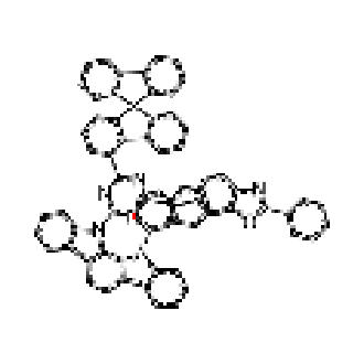 c1ccc(-c2nc(-c3cccc4c3-c3ccccc3C43c4ccccc4-c4ccccc43)nc(-n3c4ccccc4c4ccc5c6ccccc6n(-c6cccc(-c7ccc8nc(-c9ccccc9)oc8c7)c6)c5c43)n2)cc1